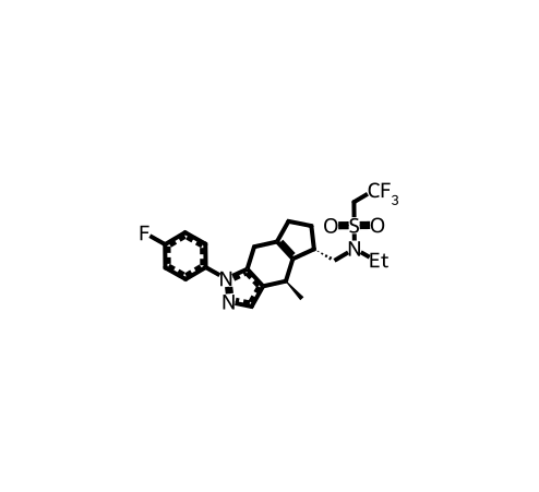 CCN(C[C@H]1CCC2=C1[C@@H](C)c1cnn(-c3ccc(F)cc3)c1C2)S(=O)(=O)CC(F)(F)F